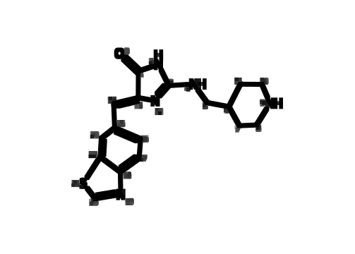 O=C1NC(NCC2CCNCC2)=N/C1=C\c1ccc2ncsc2c1